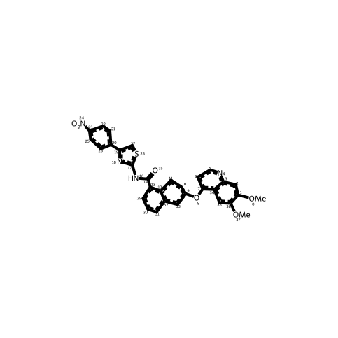 COc1cc2nccc(Oc3ccc4c(C(=O)Nc5nc(-c6ccc([N+](=O)[O-])cc6)cs5)cccc4c3)c2cc1OC